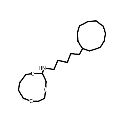 C1CCCCCC(CCCCCNC2CCCCCCCCCC2)CCCC1